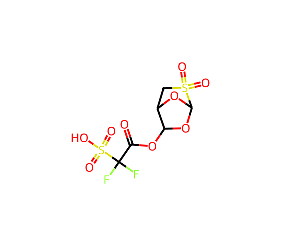 O=C(OC1OC2OC1CS2(=O)=O)C(F)(F)S(=O)(=O)O